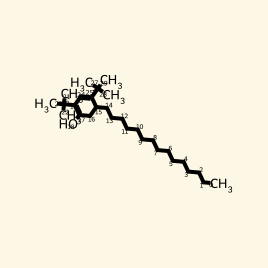 CCCCCCCCCCCCCCCC1CC(O)=C(C(C)(C)C)C=C1C(C)(C)C